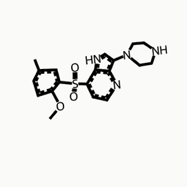 COc1ccc(C)cc1S(=O)(=O)c1ccnc2c(N3CCNCC3)c[nH]c12